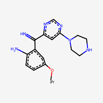 CC(C)Oc1ccc(N)c(C(=N)c2cc(N3CCNCC3)ncn2)c1